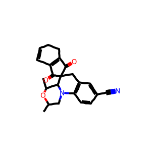 CC1CN2c3ccc(C#N)cc3CC3(C(=O)C4=C(CCC=C4)C3=O)C2C(C)O1